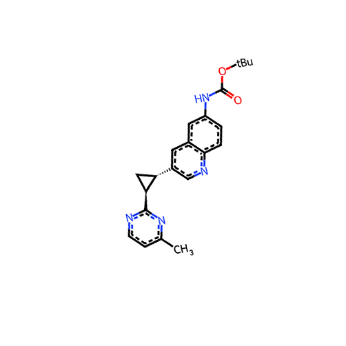 Cc1ccnc([C@H]2C[C@@H]2c2cnc3ccc(NC(=O)OC(C)(C)C)cc3c2)n1